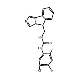 O=C(NCC1c2ccccc2-c2cncn21)Nc1cc(Cl)c(Br)cc1F